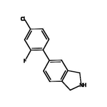 Fc1cc(Cl)ccc1-c1ccc2c(c1)CNC2